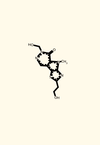 Cn1c2nc(CCO)sc2c2cnn(CO)c(=O)c21